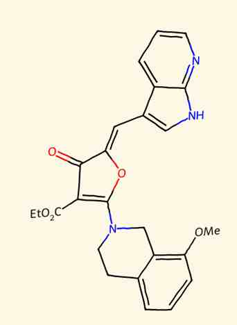 CCOC(=O)C1=C(N2CCc3cccc(OC)c3C2)OC(=Cc2c[nH]c3ncccc23)C1=O